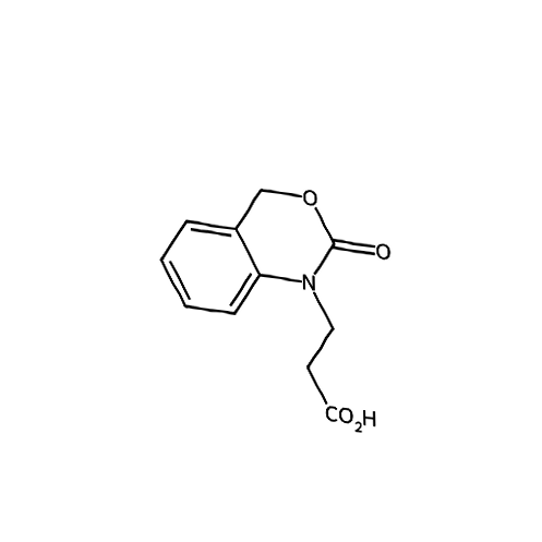 O=C(O)CCN1C(=O)OCc2ccccc21